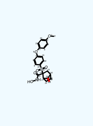 COc1ccc(Oc2ccc(S(=O)(=O)C3(C(=O)NO)CC4CCC3C43CCNCC3)cc2)cc1